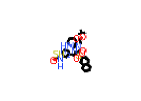 CC(C)(C)OC(=O)CN(C(=O)[C@@](N)(Cc1cccc(NC(=O)S)c1)S(=O)(=O)c1ccc2ccccc2c1)C1(C)CCCCN1